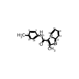 Cc1ccc(NC(=O)c2c(C)nc3ccccn23)cc1